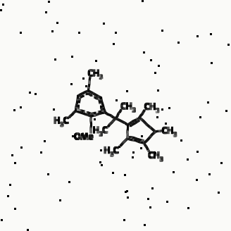 COc1c(C)cc(C)cc1C(C)(C)C1=C(C)C(C)C(C)=C1C